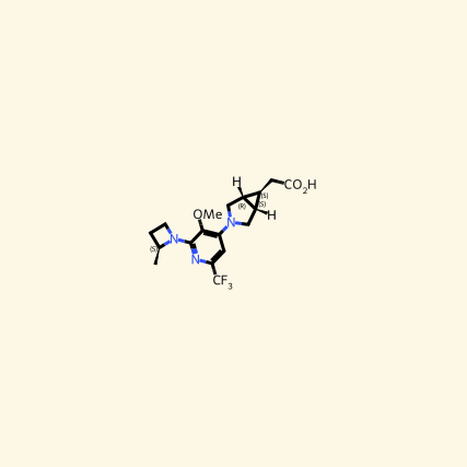 COc1c(N2C[C@@H]3[C@@H](CC(=O)O)[C@@H]3C2)cc(C(F)(F)F)nc1N1CC[C@@H]1C